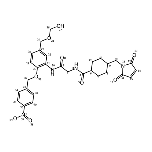 O=C(CNC(=O)C1CCC(CN2C(=O)C=CC2=O)CC1)Nc1cc(COCO)ccc1OCc1ccc([N+](=O)[O-])cc1